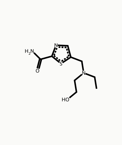 CCN(CCO)Cc1cnc(C(N)=O)s1